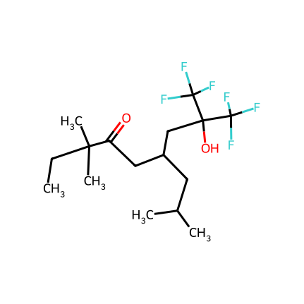 CCC(C)(C)C(=O)CC(CC(C)C)CC(O)(C(F)(F)F)C(F)(F)F